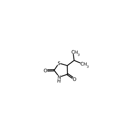 CC(C)C1SC(=O)NC1=O